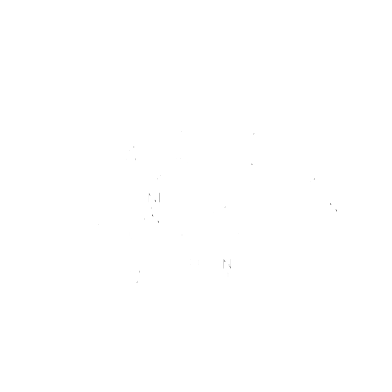 CCCC(=O)Nc1onc(-c2ccncc2)c1-c1ccccc1C(N)=O